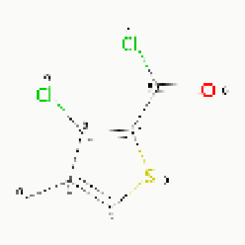 Cc1csc(C(=O)Cl)c1Cl